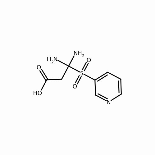 NC(N)(CC(=O)O)S(=O)(=O)c1cccnc1